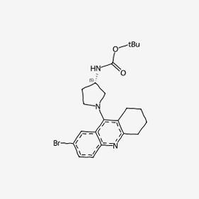 CC(C)(C)OC(=O)N[C@H]1CCN(c2c3c(nc4ccc(Br)cc24)CCCC3)C1